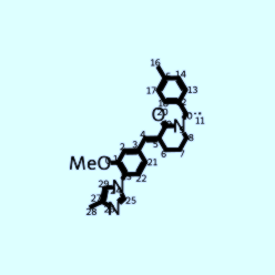 COc1cc(C=C2CCCN([C@@H](C)c3ccc(C)cc3)C2=O)ccc1-n1cnc(C)c1